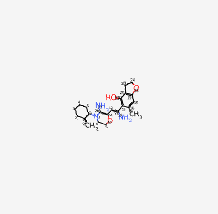 C=C1CCCC[C@H]1N1CCOC(/C=C(\N)c2c(C)cc3c(c2O)CCO3)=C1N